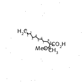 C=CCCCCCCCC(C(=O)O)C(C)OC